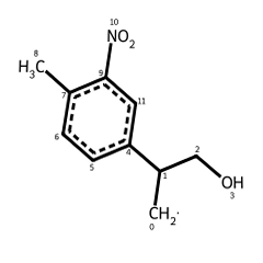 [CH2]C(CO)c1ccc(C)c([N+](=O)[O-])c1